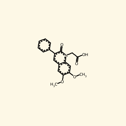 COc1cc2cc(-c3ccccc3)c(=O)n(CC(=O)O)c2cc1OC